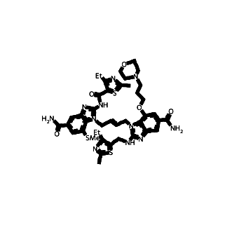 CCc1nc(C)sc1CNc1nc2cc(C(N)=O)cc(OCCCN3CCOCC3)c2n1C/C=C/Cn1c(NC(=O)c2sc(C)nc2CC)nc2cc(C(N)=O)cc(SC)c21